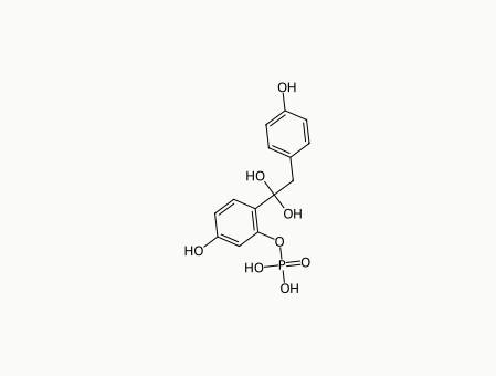 O=P(O)(O)Oc1cc(O)ccc1C(O)(O)Cc1ccc(O)cc1